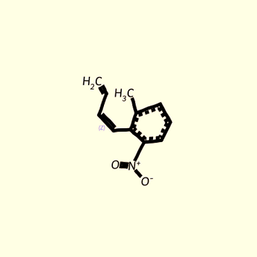 C=C/C=C\c1c(C)cccc1[N+](=O)[O-]